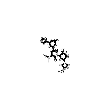 Cc1cc(-c2cc(NC(C)C)c(=O)n(-c3cc(N4CC[C@H](O)C4)ccc3C(F)(F)F)n2)cc(-c2cnco2)c1